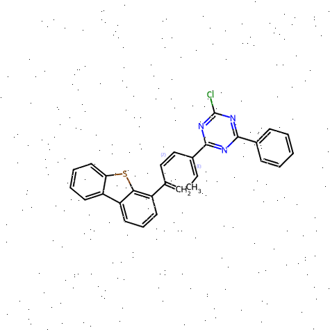 C=C(/C=C\C(=C/C)c1nc(Cl)nc(-c2ccccc2)n1)c1cccc2c1sc1ccccc12